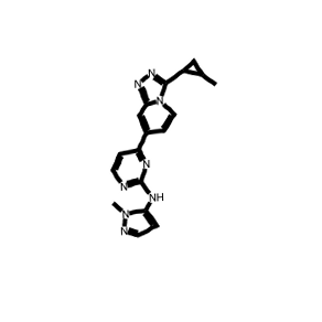 CC1CC1c1nnc2cc(-c3ccnc(Nc4ccnn4C)n3)ccn12